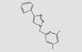 Cc1cc(C)cc(Cn2cc(-c3ccccc3)nn2)c1